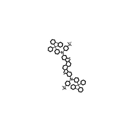 C[Si](C)(C)c1ccc(N(c2cccc(C3(c4ccccc4)c4ccccc4-c4ccccc43)c2)c2ccc3c(c2)sc2ccc4c(ccc5sc6cc(N(c7ccc([Si](C)(C)C)cc7)c7cccc(C8(c9ccccc9)c9ccccc9-c9ccccc98)c7)ccc6c54)c23)cc1